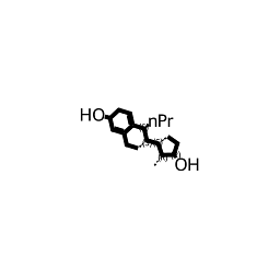 CCC[C@@H]1C2=CCC(O)C=C2CC[C@H]1[C@@H]1CC[C@@H](O)[C@@H]1C